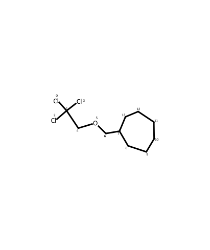 ClC(Cl)(Cl)COC[C]1CCCCCC1